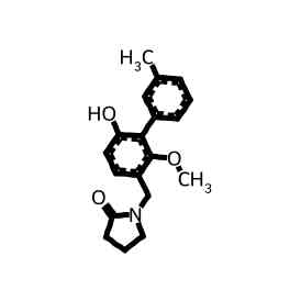 COc1c(CN2CCCC2=O)ccc(O)c1-c1cccc(C)c1